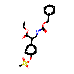 CCOC(=O)C(CNC(=O)OCc1ccccc1)c1ccc(OS(C)(=O)=O)cc1